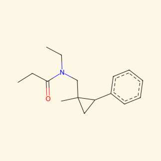 CCC(=O)N(CC)CC1(C)CC1c1ccccc1